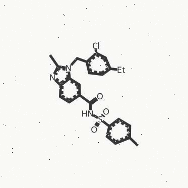 CCc1ccc(Cn2c(C)nc3ccc(C(=O)NS(=O)(=O)c4ccc(C)cc4)cc32)c(Cl)c1